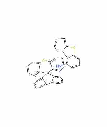 c1ccc2c(c1)Sc1ccccc1C21c2ccccc2-c2cccc(Nc3cccc4sc5ccccc5c34)c21